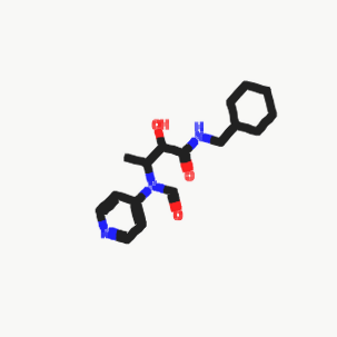 CC(C(O)C(=O)NCC1CCCCC1)N(C=O)c1ccncc1